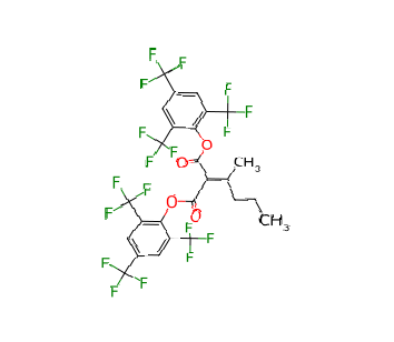 CCCC(C)C(C(=O)Oc1c(C(F)(F)F)cc(C(F)(F)F)cc1C(F)(F)F)C(=O)Oc1c(C(F)(F)F)cc(C(F)(F)F)cc1C(F)(F)F